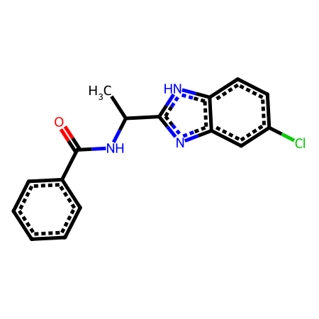 CC(NC(=O)c1ccccc1)c1nc2cc(Cl)ccc2[nH]1